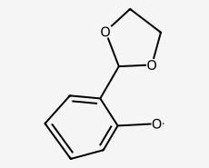 [O]c1ccccc1C1OCCO1